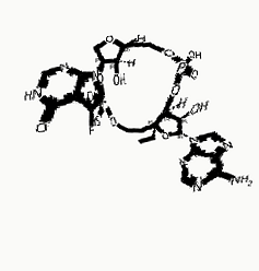 CC[C@@]12CCOP(=O)(S)O[C@]3(n4cc(F)c5c(=O)[nH]cnc54)CO[C@H](COP(=O)(O)O[C@H]1[C@@H](O)[C@H](n1cnc4c(N)ncnc41)O2)[C@H]3O